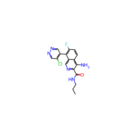 CCCNC(=O)c1ncc2c(-c3cnncc3Cl)c(F)ccc2c1N